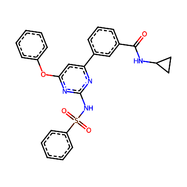 O=C(NC1CC1)c1cccc(-c2cc(Oc3ccccc3)nc(NS(=O)(=O)c3ccccc3)n2)c1